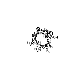 CC(=O)Nc1cccn([C@H](CO)C(=O)N[C@H]2CCNC(=O)[C@H]([C@@H](C)O)NC(=O)[C@H](CCN)NC(=O)[C@H](CCN)NC(=O)[C@H](CC(C)C)NC(=O)[C@@H](Cc3ccccc3)NC(=O)[C@H](CCN)NC2=O)c1=O